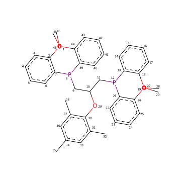 COc1ccccc1P(CC(CP(c1ccccc1OC)c1ccccc1OC)Oc1c(C)cc(C)cc1C)c1ccccc1OC